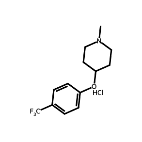 CN1CCC(Oc2ccc(C(F)(F)F)cc2)CC1.Cl